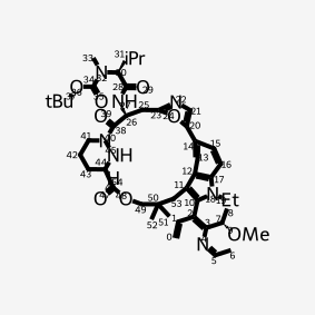 C=C/C(=C(\N=C/C)[C@H](C)OC)c1c2c3cc(ccc3n1CC)-c1cnc(o1)C[C@H](NC(=O)[C@H](C(C)C)N(C)C(=O)OC(C)(C)C)C(=O)N1CCC[C@H](N1)C(=O)OCC(C)(C)C2